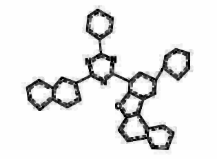 c1ccc(-c2cc(-c3nc(-c4ccccc4)nc(-c4ccc5ccccc5c4)n3)c3oc4ccc5ccccc5c4c3c2)cc1